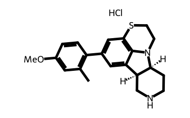 COc1ccc(-c2cc3c4c(c2)[C@@H]2CNCC[C@@H]2N4CCS3)c(C)c1.Cl